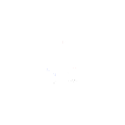 COC(=O)c1c2cc(Br)ccc2nn1C(C)C